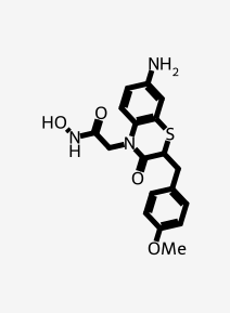 COc1ccc(CC2Sc3cc(N)ccc3N(CC(=O)NO)C2=O)cc1